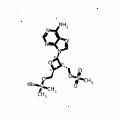 CC(C)(C)[Si](C)(C)OC[C@H]1O[C@@H](n2cnc3c(N)ncnc32)[C@@H]1COS(C)(=O)=O